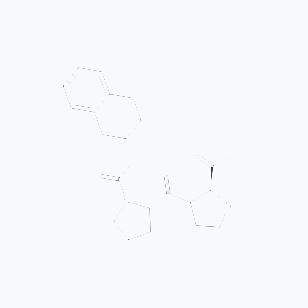 O=C(C1CCN[C@@H]1C(O)=S)[C@@H]1CCCN1C(=O)C[C@H]1CCc2ccccc2C1